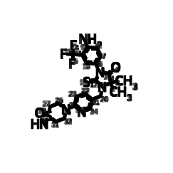 CC1(C)C(=O)N(c2ccc(N)c(C(F)(F)F)c2)C(=S)N1Cc1ccc(N2CCS(=N)(=O)CC2)nc1